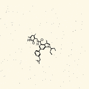 CCC(CC)n1cc(C)c2c(C(=O)NCc3c(C)cc(C)[nH]c3=O)cc(-c3cccc(CN(C)C)c3)cc21